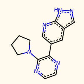 c1cnc(N2CCCC2)c(-c2cnc3[nH]ncc3c2)n1